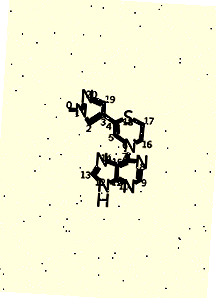 Cn1cc(C2=CN(c3ncnc4[nH]cnc34)CCS2)cn1